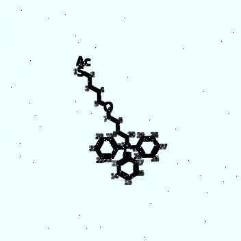 CC(=O)SCCCCOCCCC[PH](c1ccccc1)(c1ccccc1)c1ccccc1